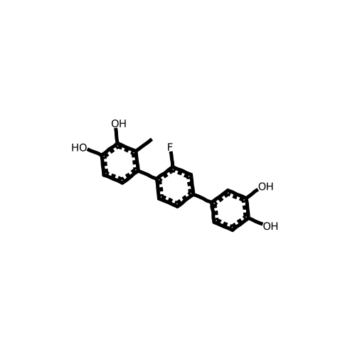 Cc1c(-c2ccc(-c3ccc(O)c(O)c3)cc2F)ccc(O)c1O